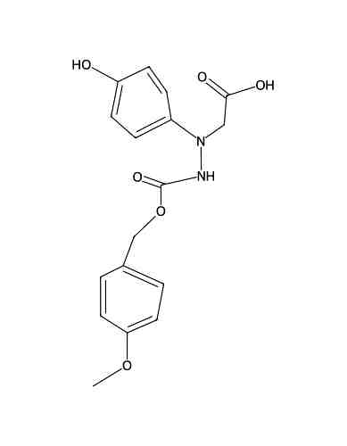 COc1ccc(COC(=O)NN(CC(=O)O)c2ccc(O)cc2)cc1